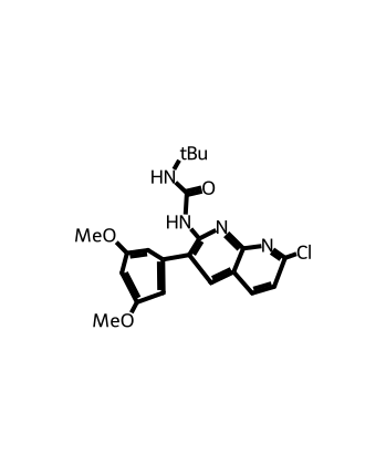 COc1cc(OC)cc(-c2cc3ccc(Cl)nc3nc2NC(=O)NC(C)(C)C)c1